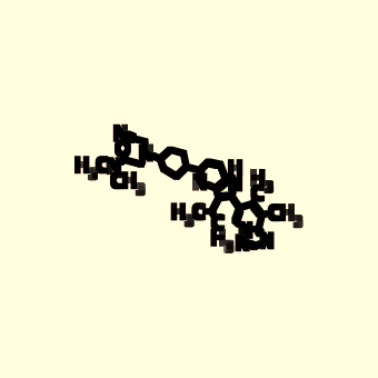 Cc1c(-c2[nH]c3ccc(C4CCC(N(CC#N)CC(=O)N(C)C)CC4)nc3c2C(C)C)cn2ncnc2c1C